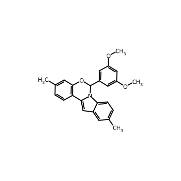 COc1cc(OC)cc(C2Oc3cc(C)ccc3-c3cc4cc(C)ccc4n32)c1